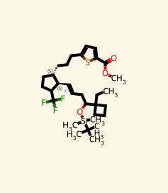 CCC1(C(C/C=C/[C@H]2C(C(F)(F)F)CC[C@@H]2CCCc2ccc(C(=O)OC)s2)O[Si](C)(C)C(C)(C)C)CCC1